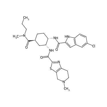 CCCN(C)C(=O)[C@H]1CC[C@H](NC(=O)c2cc3cc(Cl)ccc3[nH]2)[C@H](NC(=O)c2nc3c(s2)CN(C)CC3)C1